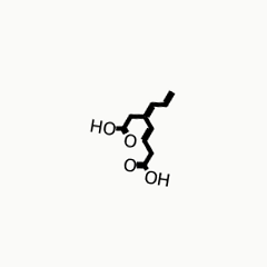 C=CC=C(C=CCC(=O)O)CC(=O)O